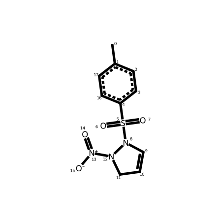 Cc1ccc(S(=O)(=O)N2C=CCN2[N+](=O)[O-])cc1